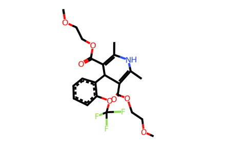 COCCOC(=O)C1=C(C)NC(C)=C(C(=O)OCCOC)C1c1ccccc1OC(F)(F)F